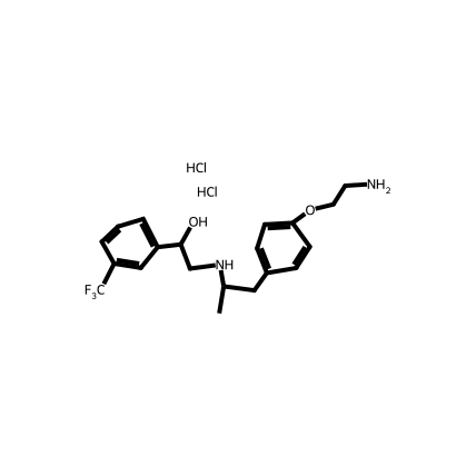 CC(Cc1ccc(OCCN)cc1)NCC(O)c1cccc(C(F)(F)F)c1.Cl.Cl